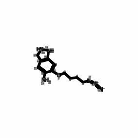 [N-]=[N+]=NCCCCOc1cc2c(cc1N)CNN2